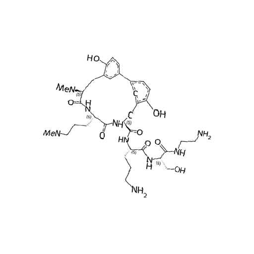 CNCCC[C@@H]1NC(=O)[C@@H](NC)Cc2cc(ccc2O)-c2ccc(O)c(c2)C[C@@H](C(=O)N[C@@H](CCCN)C(=O)N[C@@H](CO)C(=O)NCCN)NC1=O